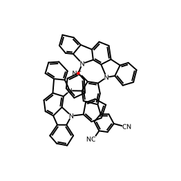 N#Cc1cc(C#N)cc(-c2cc(-n3c4ccccc4c4ccc5c6ccccc6n(-c6ccccc6)c5c43)c(C#N)c(-n3c4ccccc4c4ccc5c6ccccc6n(-c6ccccc6)c5c43)c2)c1